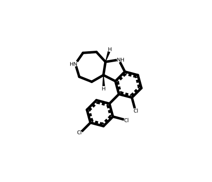 Clc1ccc(-c2c(Cl)ccc3c2[C@@H]2CCNCC[C@@H]2N3)c(Cl)c1